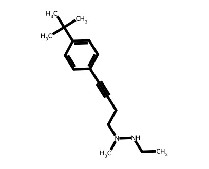 CCNN(C)CCC#Cc1ccc(C(C)(C)C)cc1